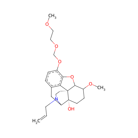 C=CCN1CC[C@]23c4c5ccc(OCOCCOC)c4OC2C(OC)CC[C@@]3(O)C1C5